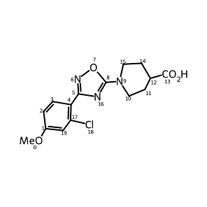 COc1ccc(-c2noc(N3CCC(C(=O)O)CC3)n2)c(Cl)c1